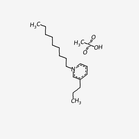 CCCCCCCCC[n+]1cccc(CCC)c1.CS(=O)(=O)O